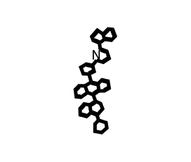 C1=CC2C(C3=CC(c4cccc(-c5cccc6ccccc56)n4)=CCC3)=c3ccccc3=C(C3=c4ccccc4=C(C4CCCCC4)CC3)C2C=C1